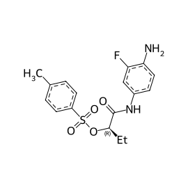 CC[C@@H](OS(=O)(=O)c1ccc(C)cc1)C(=O)Nc1ccc(N)c(F)c1